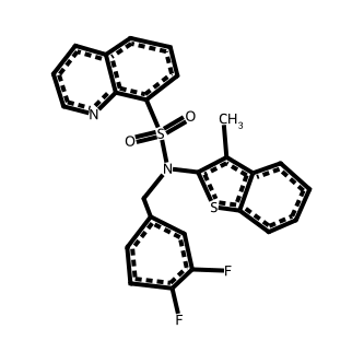 Cc1c(N(Cc2ccc(F)c(F)c2)S(=O)(=O)c2cccc3cccnc23)sc2ccccc12